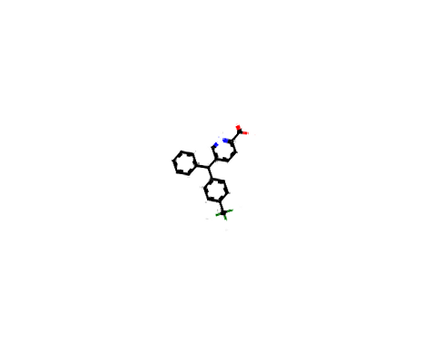 O=C(O)c1ccc(C(c2ccccc2)c2ccc(C(F)(F)F)cc2)cn1